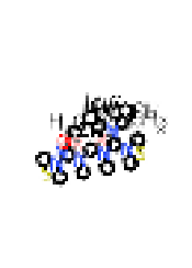 CC1(C)CCC(C)(C)c2cc(N3c4cc5c(cc4B4c6cc7c(cc6N(c6ccccc6)c6cc(N8c9ccccc9Sc9ccccc98)cc3c64)N(c3ccccc3)c3cc(N4c6ccccc6Sc6ccccc64)nc4c3B7c3ccccc3O4)C(C)(C)CCC5(C)C)ccc21